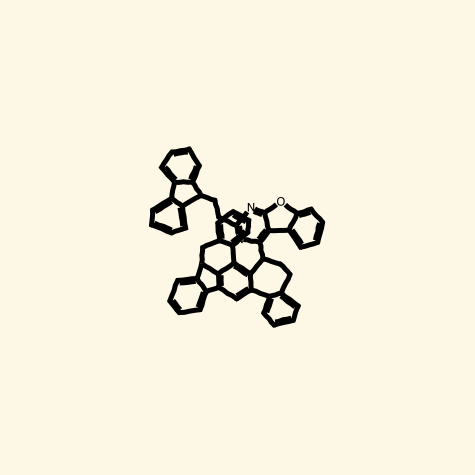 c1ccc2c(c1)CCC(c1nc(CCC3c4ccccc4-c4ccccc43)nc3oc4ccccc4c13)c1c-2cc2c3c1-c1ccccc1CC3c1ccccc1-2